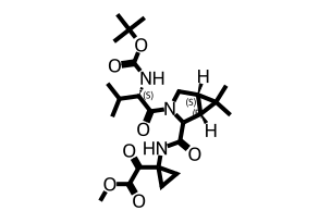 COC(=O)C(=O)C1(NC(=O)C2[C@@H]3[C@H](CN2C(=O)[C@@H](NC(=O)OC(C)(C)C)C(C)C)C3(C)C)CC1